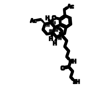 CC(=O)Cc1ccc2c3c1O[C@H]1[C@@H](CC(C)=O)CC[C@H]4[C@@H](C2)N(CCCCNC(=O)CCS)CC[C@@]341